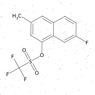 Cc1cc(OS(=O)(=O)C(F)(F)F)c2cc(F)ccc2c1